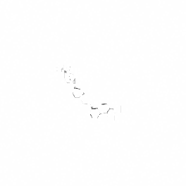 CC[N+]1([O-])CCN(c2ccc(COc3cccc4c(Cl)c(C)ccc34)cc2)CC1